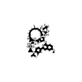 COc1ccc2c(O[C@@H]3C[C@H]4C(=O)N[C@]5(C(=O)NS(=O)(=O)C6CC6)C[C@H]5/C=C\CC[C@@H](C)C[C@@H](C)[C@H](N(C(=O)O)[C@H](C)C(F)(F)F)C(=O)N4C3)nc(-c3ccc(OC(C)C)c(F)c3)cc2c1